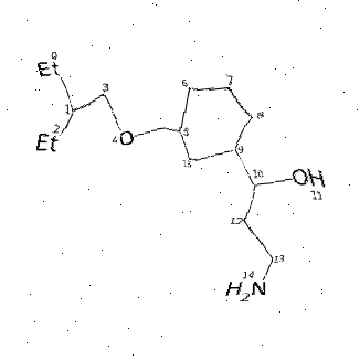 CCC(CC)COC1CCCC(C(O)CCN)C1